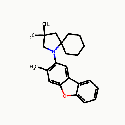 Cc1cc2oc3ccccc3c2cc1N1CC(C)(C)CC12CCCCC2